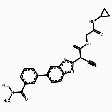 CN(C)C(=O)c1cccc(-c2ccc3nc(C(C#N)C(=O)NCC(=O)NC4CC4)sc3c2)c1